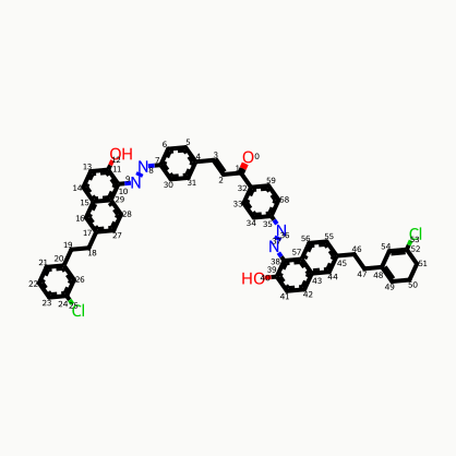 O=C(C=Cc1ccc(N=Nc2c(O)ccc3cc(CCc4cccc(Cl)c4)ccc23)cc1)c1ccc(N=Nc2c(O)ccc3cc(CCC4=CCCC(Cl)=C4)ccc23)cc1